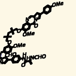 COc1ccc(C2=CN3C(=O)c4cc(OC)c(OCC(C)(C)CC(C)(C)COc5cc(/N=C\C6CC(c7ccc(NC(=O)C(C)NC=O)cc7)=CN6C)c(C=O)cc5OC)cc4N=CC3C2)cc1